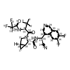 CC(C)(C)[C@H](NC(=O)C(F)(F)F)C(=O)N1C[C@@H]2CC2[C@H]1C(=O)N[C@H](C#N)c1cncc2cc(F)c(F)cc12